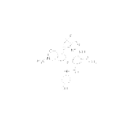 COc1cc(C(=O)N[C@H]2CC[C@H](O)CC2)c(F)cc1Nc1ncc(C(F)(F)F)c(Oc2cccc3c2COCN(C)C3)n1